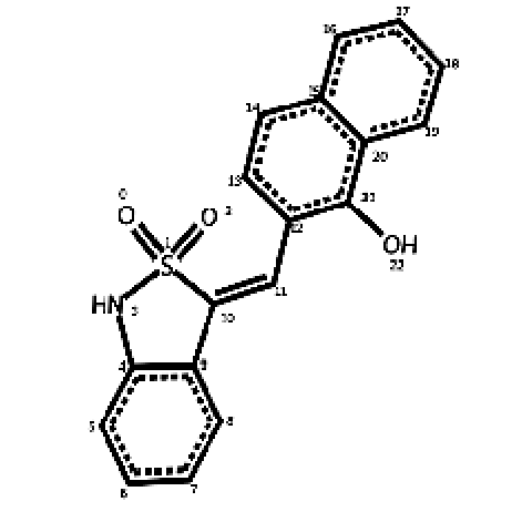 O=S1(=O)Nc2ccccc2C1=Cc1ccc2ccccc2c1O